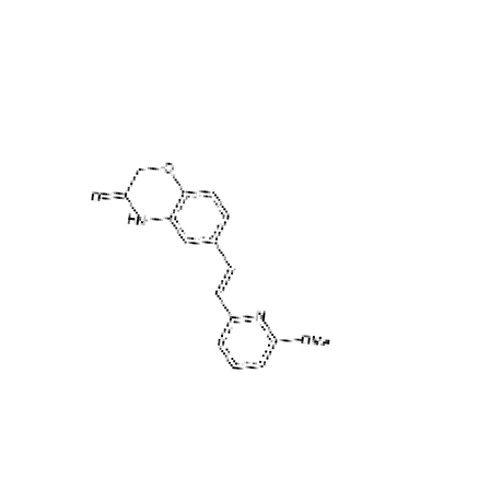 COc1cccc(C=Cc2ccc3c(c2)NC(=O)CO3)n1